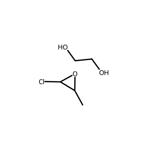 CC1OC1Cl.OCCO